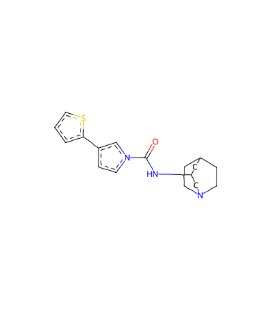 O=C(NC1CC2CCN(CC2)C1)n1ccc(-c2cccs2)c1